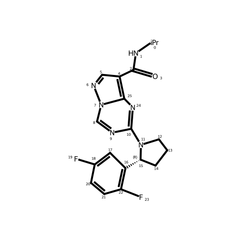 CC(C)NC(=O)c1cnn2cnc(N3CCC[C@@H]3c3cc(F)ccc3F)nc12